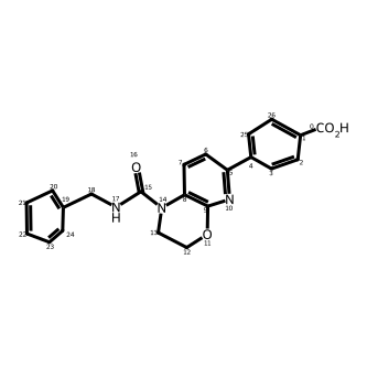 O=C(O)c1ccc(-c2ccc3c(n2)OCCN3C(=O)NCc2ccccc2)cc1